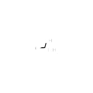 CCO.[TeH2]